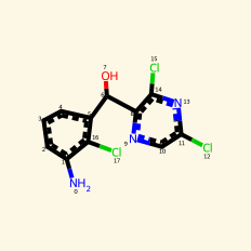 Nc1cccc(C(O)c2ncc(Cl)nc2Cl)c1Cl